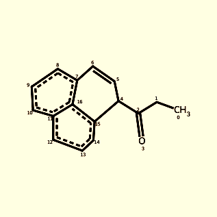 CCC(=O)C1C=Cc2cccc3cccc1c23